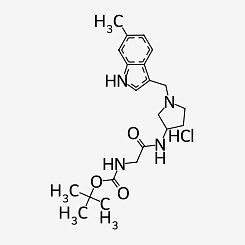 Cc1ccc2c(CN3CCC(NC(=O)CNC(=O)OC(C)(C)C)C3)c[nH]c2c1.Cl